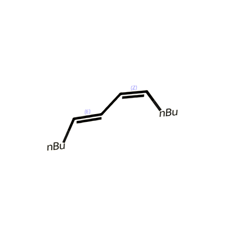 [CH2]CCC/C=C/C=C\CCCC